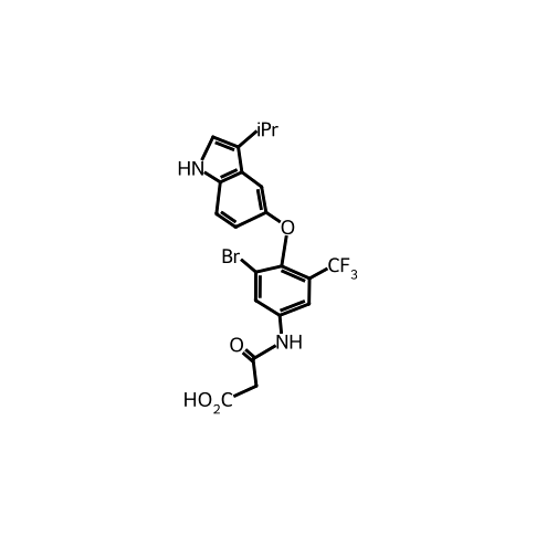 CC(C)c1c[nH]c2ccc(Oc3c(Br)cc(NC(=O)CC(=O)O)cc3C(F)(F)F)cc12